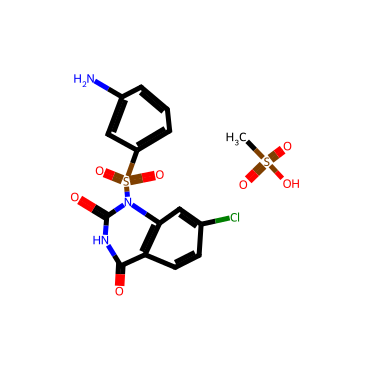 CS(=O)(=O)O.Nc1cccc(S(=O)(=O)n2c(=O)[nH]c(=O)c3ccc(Cl)cc32)c1